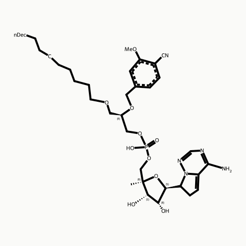 CCCCCCCCCCCCCCCCCCOC[C@H](COP(=O)(O)OC[C@@]1(C)O[C@@H](C2CC=C3C(N)=NC=NN32)[C@H](O)[C@@H]1O)OCc1ccc(C#N)c(OC)c1